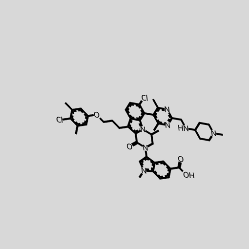 Cc1cc(OCCCc2c3n(c4c(-c5c(C)nc(CNC6CCN(C)CC6)nc5C)c(Cl)ccc24)C(C)CN(c2cn(C)c4ccc(C(=O)O)cc24)C3=O)cc(C)c1Cl